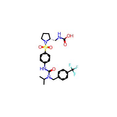 CC(C)N(Cc1ccc(C(F)(F)F)cc1)C(=O)Nc1ccc(S(=O)(=O)N2CCC[C@@H]2CNC(=O)O)cc1